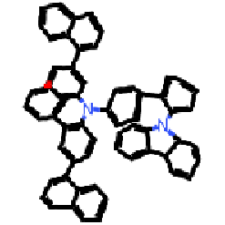 C1=CC2c3ccccc3N(c3ccccc3-c3ccc(N(c4cccc(-c5cccc6ccccc56)c4)c4ccc(-c5cccc6ccccc56)cc4-c4ccccc4)cc3)C2C=C1